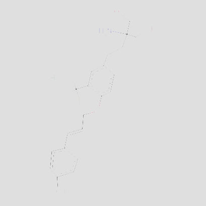 Cc1ccc(/C=C/COc2ccc(CCC(N)(CO)CO)cc2C(F)(F)F)cc1.Cl